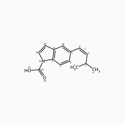 CC(C)/C=C\c1ccc2c(ccn2C(=O)O)c1